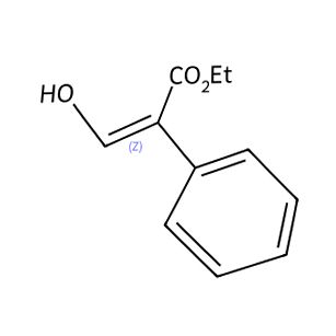 CCOC(=O)/C(=C\O)c1ccccc1